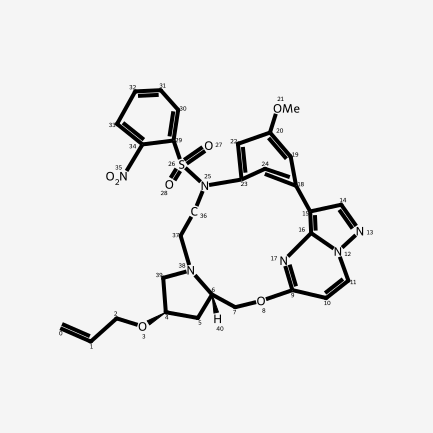 C=CCO[C@@H]1C[C@H]2COc3ccn4ncc(c4n3)-c3cc(OC)cc(c3)N(S(=O)(=O)c3ccccc3[N+](=O)[O-])CCN2C1